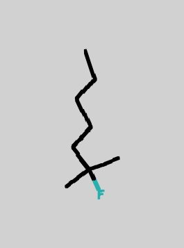 CCCCCC(C)(C)F